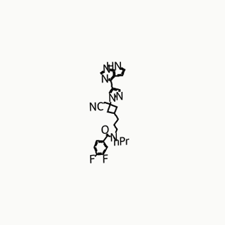 CCCN(CCCC1CC(CC#N)(n2cc(-c3ncnc4[nH]ccc34)cn2)C1)C(=O)c1ccc(F)c(F)c1